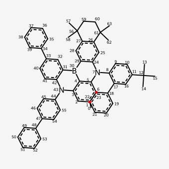 Cc1cc2c3c(c1)N(c1ccc(C(C)(C)C)cc1-c1ccccc1)c1cc4c(cc1B3c1cc(-c3ccccc3)ccc1N2c1ccc(-c2ccccc2)cc1)C(C)(C)CCC4(C)C